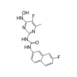 Cc1nc(NC(=O)Nc2ccc3ccc(F)cc3c2)nc(NO)c1F